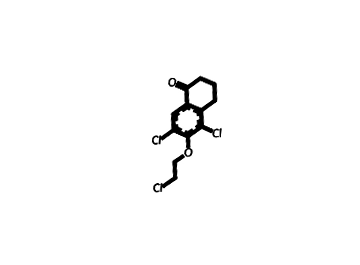 O=C1CCCc2c1cc(Cl)c(OCCCl)c2Cl